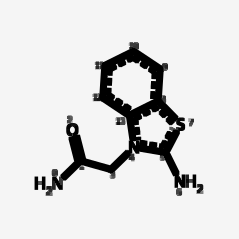 NC(=O)C[n+]1c(N)sc2ccccc21